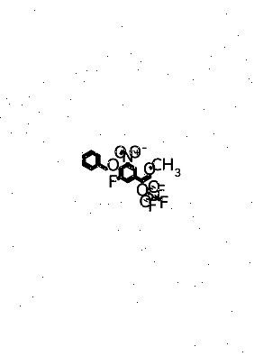 CO/C=C(/OS(=O)(=O)C(F)(F)F)c1cc(F)c(OCc2ccccc2)c([N+](=O)[O-])c1